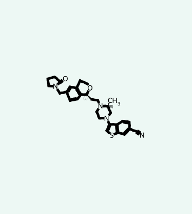 C[C@@H]1CN(c2csc3cc(C#N)ccc23)CCN1CC[C@@H]1OCCc2cc(CN3CCCC3=O)ccc21